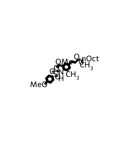 CCCCCCCCN(C)C(=O)/C=C/c1cc(C)c(NCS(=O)(=O)c2ccc(OC)cc2)c(C(=O)OC)c1